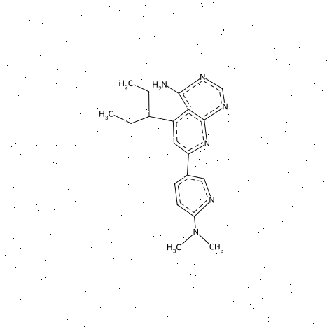 CCC(CC)c1cc(-c2ccc(N(C)C)nc2)nc2ncnc(N)c12